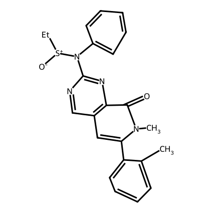 CC[S+]([O-])N(c1ccccc1)c1ncc2cc(-c3ccccc3C)n(C)c(=O)c2n1